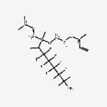 C=C[SiH](C)O[SiH2][SiH2]O[Si](C)([SiH2]O[SiH](C)C)C(C)C(F)(F)C(F)(F)C(F)(F)C(F)(F)C(F)(F)C(F)(F)F